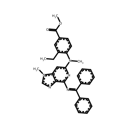 CCc1cc(C(=O)OC)ccc1N(C)c1cc2c(ncn2C)c(N=C(c2ccccc2)c2ccccc2)n1